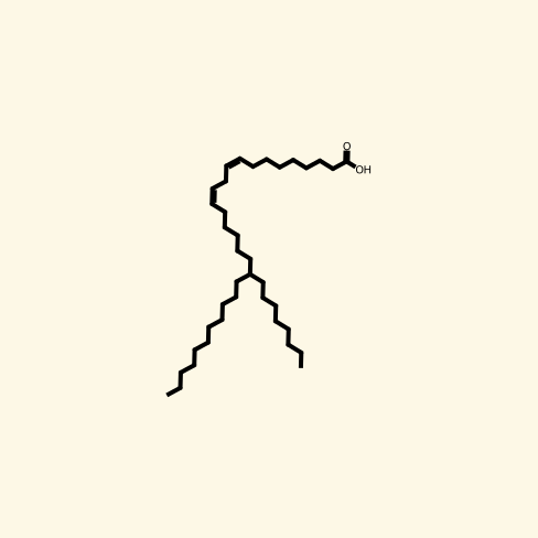 CCCCCCCCCCCC(CCCCC/C=C\C/C=C\CCCCCCCC(=O)O)CCCCCCCC